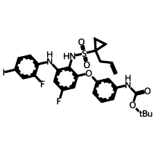 C=CCC1(S(=O)(=O)Nc2c(Nc3ccc(I)cc3F)cc(F)cc2Oc2cccc(NC(=O)OC(C)(C)C)c2)CC1